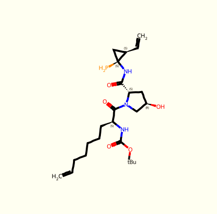 C=CCCCCC[C@H](NC(=O)OC(C)(C)C)C(=O)N1C[C@H](O)C[C@H]1C(=O)N[C@]1(P)C[C@H]1C=C